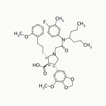 CCCC(CCC)N(C(=O)CN1C[C@H](c2cc(OC)c3c(c2)OCO3)[C@@H](C(=O)O)[C@@H]1CCCc1ccccc1OC)c1ccc(F)c(C)c1